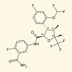 C[C@@H]1[C@@H](c2ccc(F)cc2OC(F)F)[C@H](C(=O)Nc2ccc(F)c(C(N)=O)c2)O[C@@]1(C)C(F)(F)F